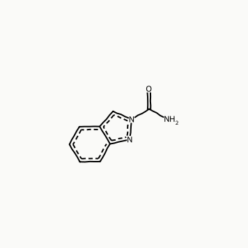 NC(=O)n1cc2ccccc2n1